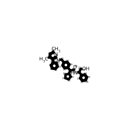 Cc1cc(C)c2c3ccccc3n(Cc3ccc(C(C(=O)NC(CO)c4ccccc4)C4CCCC4)cc3)c2n1